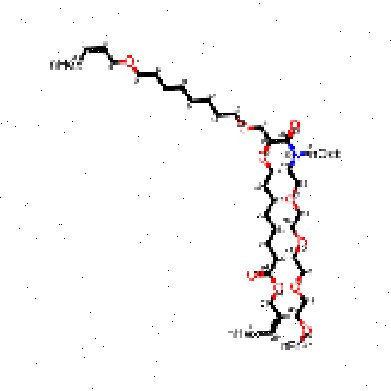 CCCCCC/C=C\COCCCCCCCCOCC(OCCCCCCCC(=O)OC/C=C\CCCCCC)C(=O)N(CCCCCCCC)CCOCCOCCOCCOCCC